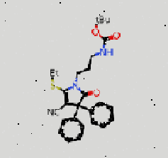 CCSC1=C(C#N)C(c2ccccc2)(c2ccccc2)C(=O)N1CCCNC(=O)OC(C)(C)C